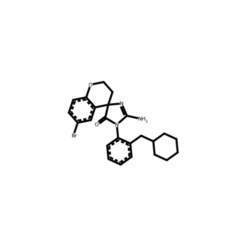 NC1=NC2(CCOc3ccc(Br)cc32)C(=O)N1c1ccccc1CC1CCCCC1